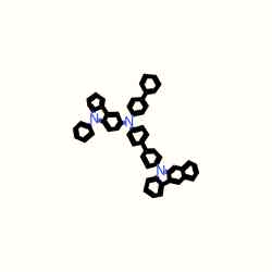 c1ccc(-c2ccc(N(c3ccc(-c4ccc(-n5c6ccccc6c6cc7ccccc7cc65)cc4)cc3)c3ccc4c(c3)c3ccccc3n4-c3ccccc3)cc2)cc1